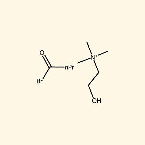 CCCC(=O)Br.C[N+](C)(C)CCO